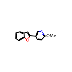 COc1ccc(-c2cc3ccccc3o2)cn1